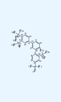 FC(F)(F)c1ccc(-c2cccc(-c3ccc(C(F)(F)F)c(C(F)(F)F)c3)c2)c(C(F)(F)F)c1